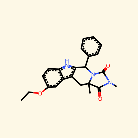 CCOc1ccc2[nH]c3c(c2c1)CC1(C)C(=O)N(C)C(=O)N1C3c1ccccc1